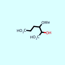 COC(CCC(=O)O)C(O)C(=O)O